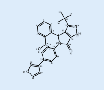 C[S+]([O-])c1ccccc1C1c2c(C(C)(C)C)n[nH]c2C(=O)N1c1ccc(-c2ccon2)cc1